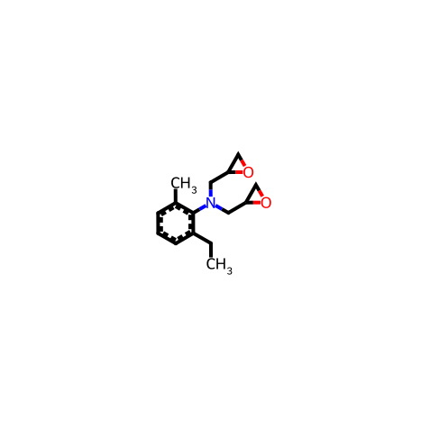 CCc1cccc(C)c1N(CC1CO1)CC1CO1